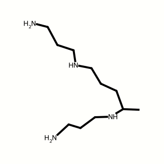 CC(CCCNCCCN)NCCCN